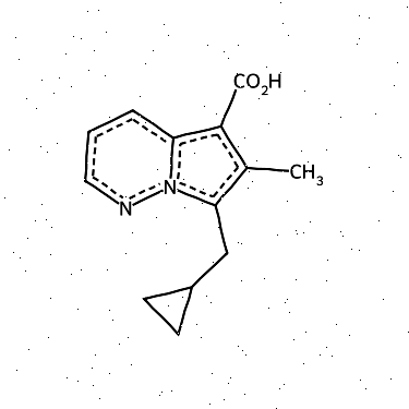 Cc1c(C(=O)O)c2cccnn2c1CC1CC1